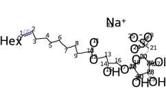 CCCCCC/C=C\CCCCCCCC(=O)OCC(O)CO[C@H]1O[C@H](CS(=O)(=O)[O-])[C@@H](O)[C@H](O)[C@H]1O.[Na+]